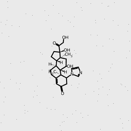 C[C@]12C[C@H](O)[C@H]3[C@@H](CCC4=CC(=O)CC(n5ccnc5)[C@@]43C)[C@@H]1CC[C@]2(O)C(=O)CO